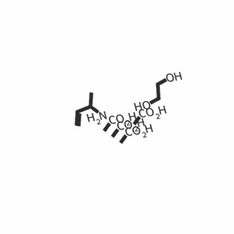 C=CC(C)N.CC(=O)O.CC(=O)O.CC(=O)O.CC(=O)O.OCCO